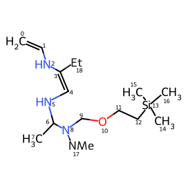 C=CN/C(=C\NC(C)N(COCC[Si](C)(C)C)NC)CC